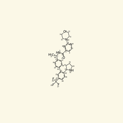 C[C@@H](NC(=O)c1ccnc(N2CCOCC2)n1)c1ccc(-c2cc(C(F)(F)F)ccc2C2CCCN2)cc1